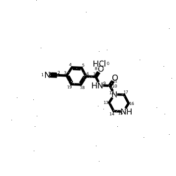 Cl.N#Cc1ccc(C(=O)NC(=O)N2CCNCC2)cc1